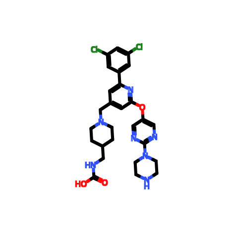 O=C(O)NCC1CCN(Cc2cc(Oc3cnc(N4CCNCC4)nc3)nc(-c3cc(Cl)cc(Cl)c3)c2)CC1